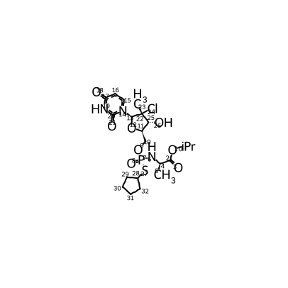 CC(C)OC(=O)[C@@H](C)N[P@](=O)(OC[C@H]1O[C@@H](n2ccc(=O)[nH]c2=O)[C@](C)(Cl)[C@@H]1O)SC1CCCC1